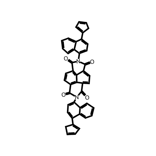 O=C1c2ccc3c4c(ccc(c24)C(=O)N1c1ccc(C2=CC=CC2)c2ccccc12)C(=O)N(c1ccc(C2=CC=CC2)c2ccccc12)C3=O